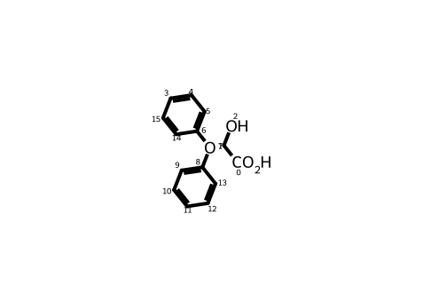 O=C(O)CO.c1ccc(Oc2ccccc2)cc1